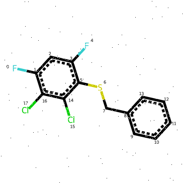 Fc1cc(F)c(SCc2ccccc2)c(Cl)c1Cl